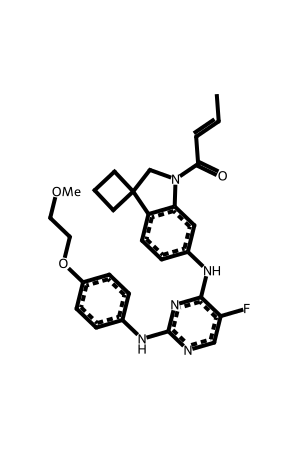 C/C=C/C(=O)N1CC2(CCC2)c2ccc(Nc3nc(Nc4ccc(OCCOC)cc4)ncc3F)cc21